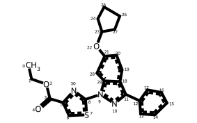 CCOC(=O)c1csc(-n2nc(-c3ccccc3)c3ccc(OC4CCCC4)cc32)n1